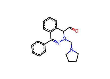 O=CC1c2ccccc2C(c2ccccc2)=NN1CN1CCCC1